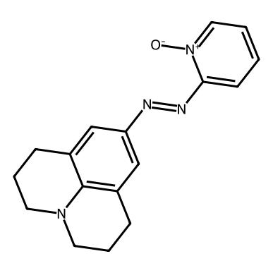 [O-][n+]1ccccc1/N=N/c1cc2c3c(c1)CCCN3CCC2